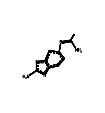 CC(N)=Nc1ccc2nc(N)sc2c1